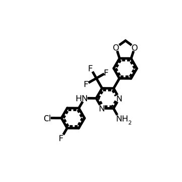 Nc1nc(Nc2ccc(F)c(Cl)c2)c(C(F)(F)F)c(-c2ccc3c(c2)OCO3)n1